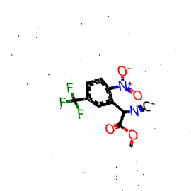 [C-]#[N+]C(C(=O)OC)c1cc(C(F)(F)F)ccc1[N+](=O)[O-]